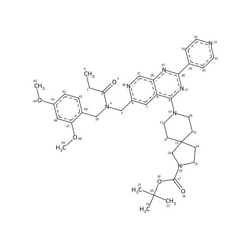 CCC(=O)N(Cc1cc2c(N3CCC4(CCN(C(=O)OC(C)(C)C)C4)CC3)nc(-c3ccncc3)nc2cn1)Cc1ccc(OC)cc1OC